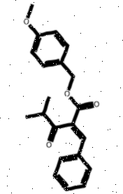 COc1ccc(COC(=O)C(=Cc2ccccc2)C(=O)C(C)C)cc1